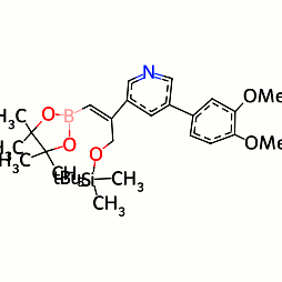 COc1ccc(-c2cncc(C(=CB3OC(C)(C)C(C)(C)O3)CO[Si](C)(C)C(C)(C)C)c2)cc1OC